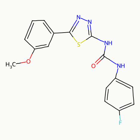 COc1cccc(-c2nnc(NC(=O)Nc3ccc(F)cc3)s2)c1